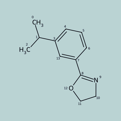 CC(C)c1cccc(C2=NCCO2)c1